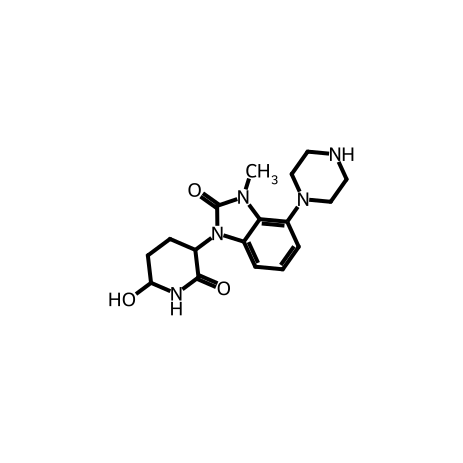 Cn1c(=O)n(C2CCC(O)NC2=O)c2cccc(N3CCNCC3)c21